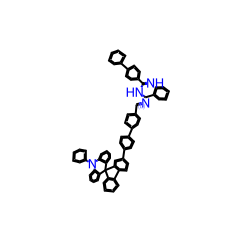 N=C(NC(/N=C/c1ccc(-c2ccc(-c3ccc4c(c3)C3(c5ccccc5-4)c4ccccc4N(c4ccccc4)c4ccccc43)cc2)cc1)c1ccccc1)c1ccc(-c2ccccc2)cc1